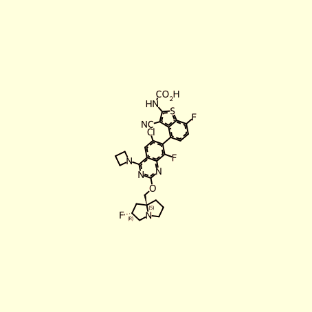 N#Cc1c(NC(=O)O)sc2c(F)ccc(-c3c(Cl)cc4c(N5CCC5)nc(OC[C@@]56CCCN5C[C@H](F)C6)nc4c3F)c12